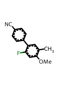 COc1cc(F)c(-c2ccc(C#N)cc2)cc1C